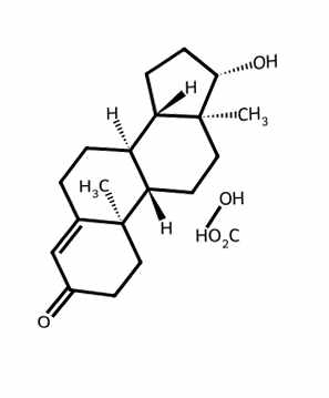 C[C@]12CC[C@H]3[C@@H](CCC4=CC(=O)CC[C@@]43C)[C@@H]1CC[C@@H]2O.O=C(O)O